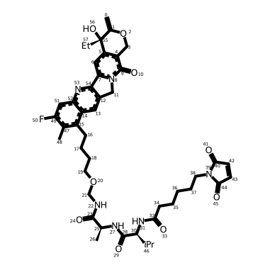 C=C1OCc2c(cc3n(c2=O)Cc2cc4c(CCCCOCNC(=O)[C@H](C)NC(=O)[C@@H](NC(=O)CCCCCN5C(=O)C=CC5=O)C(C)C)c(C)c(F)cc4nc2-3)[C@@]1(O)CC